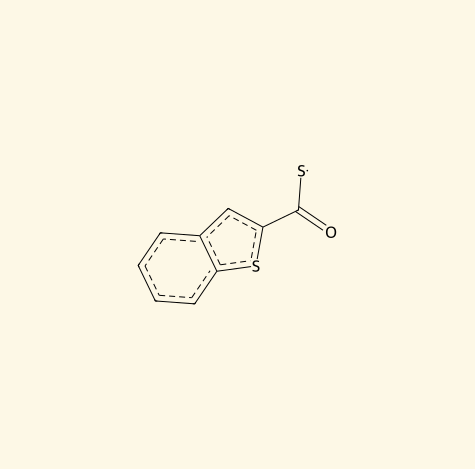 O=C([S])c1cc2ccccc2s1